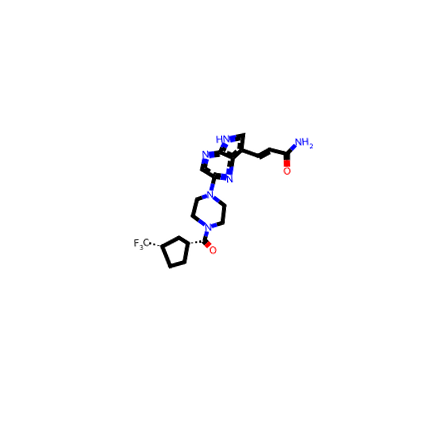 NC(=O)/C=C/c1c[nH]c2ncc(N3CCN(C(=O)[C@@H]4CC[C@H](C(F)(F)F)C4)CC3)nc12